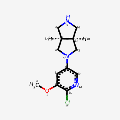 COc1cc(N2C[C@H]3CNC[C@H]3C2)cnc1Cl